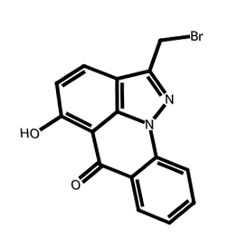 O=c1c2ccccc2n2nc(CBr)c3ccc(O)c1c32